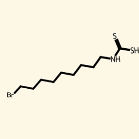 S=C(S)NCCCCCCCCCBr